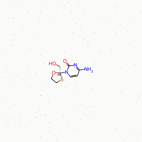 Nc1ccn([C@]2(CO)OCCS2)c(=O)n1